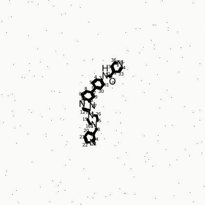 O=C(Nc1ccc(-c2ccc3ncc(N4CCN(Cc5cccnc5)CC4)nc3c2)cc1)c1ccncc1